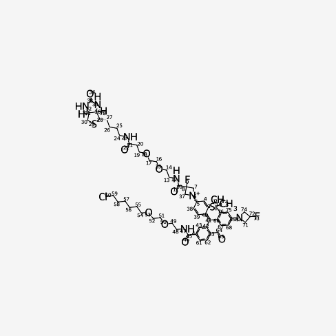 C[Si]1(C)C2=CC(=[N+]3CC(F)(C(=O)NCCOCCOCCC(=O)NCCCC[C@@H]4SC[C@@H]5NC(=O)N[C@@H]54)C3)C=CC2=C(c2cc(C(=O)NCCOCCOCCCCCCCl)ccc2C=O)c2ccc(N3CC(F)C3)cc21